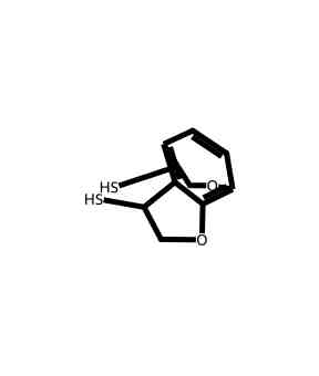 SC1COc2ccc1c1c2OCC1S